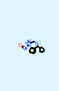 O=C=Nc1nnc2n1-c1cc[c]cc1C(c1ccccc1F)=NC2